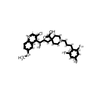 COc1ccc2ncc(Cl)c([C@H](F)CCC3(C(=O)O)CCN(CCCc4c(F)cc(F)cc4F)CC3)c2c1